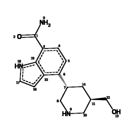 NC(=O)c1ccc([C@H]2CNC[C@H](CO)C2)c2cc[nH]c12